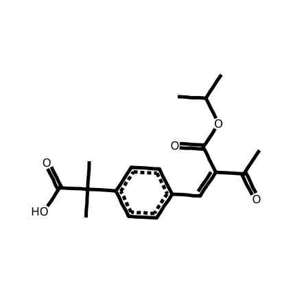 CC(=O)/C(=C/c1ccc(C(C)(C)C(=O)O)cc1)C(=O)OC(C)C